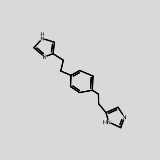 c1nc(CCc2ccc(CCc3cnc[nH]3)cc2)c[nH]1